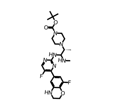 CNC(Nc1ncc(F)c(-c2cc(F)c3c(c2)NCCO3)n1)[C@@H](C)N1CCN(C(=O)OC(C)(C)C)CC1